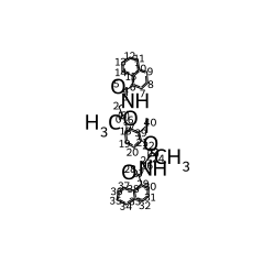 C[C@@H](CNC(=O)c1cccc2ccccc12)Oc1cccc(O[C@@H](C)CNC(=O)c2cccc3ccccc23)c1I